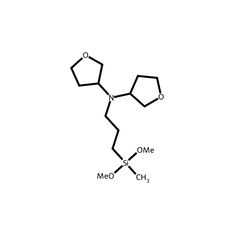 CO[Si](C)(CCCN(C1CCOC1)C1CCOC1)OC